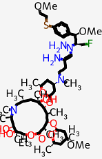 CC[C@H]1OC(=O)[C@H](C)[C@@H](O[C@H]2C[C@@](C)(OC)C[C@H](C)O2)[C@H](C)[C@@H](O[C@H]2C[C@@H](N(C)CC/C(N)=C/N(N)[C@H](CF)[C@H](OC)c3ccc(SCCOC)cc3)C[C@@H](C)O2)[C@](C)(O)C[C@@H](C)CN(C)[C@H](C)[C@@H](O)[C@]1(C)O